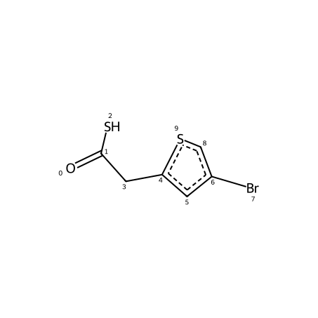 O=C(S)Cc1cc(Br)cs1